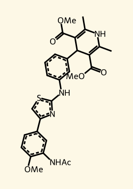 COC(=O)C1=C(C)NC(C)=C(C(=O)OC)C1c1cccc(Nc2nc(-c3ccc(OC)c(NC(C)=O)c3)cs2)c1